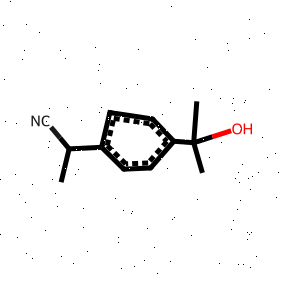 CC(C#N)c1ccc(C(C)(C)O)cc1